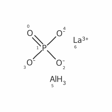 O=P([O-])([O-])[O-].[AlH3].[La+3]